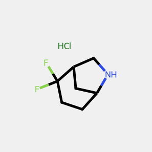 Cl.FC1(F)CCC2CC1CN2